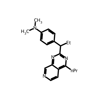 CCCc1nc(C(CC)c2ccc(N(C)C)cc2)nc2cnccc12